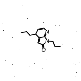 CCCC1C=CN=C2C1=CC(=O)N2CCC